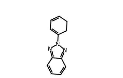 C1=CCCC(n2nc3ccccc3n2)=C1